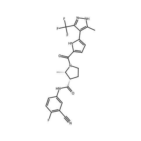 Cc1[nH]nc(C(F)(F)F)c1-c1ccc(C(=O)N2CC[C@H](C(=O)Nc3ccc(F)c(C#N)c3)[C@@H]2C)[nH]1